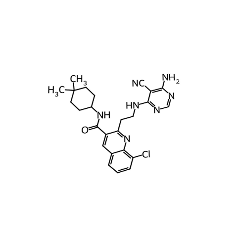 CC1(C)CCC(NC(=O)c2cc3cccc(Cl)c3nc2CCNc2ncnc(N)c2C#N)CC1